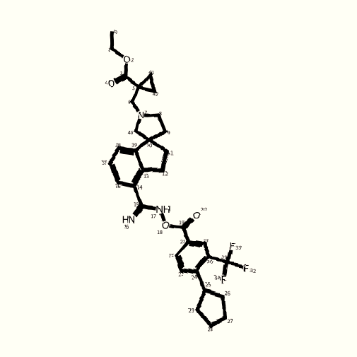 CCOC(=O)C1(CN2CCC3(CCc4c(C(=N)NOC(=O)c5ccc(C6CCCC6)c(C(F)(F)F)c5)cccc43)C2)CC1